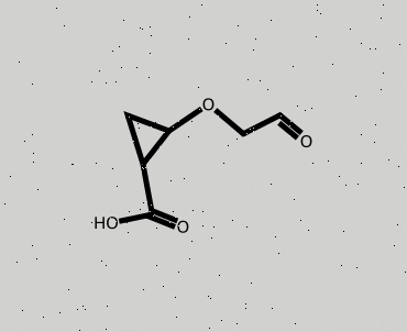 O=CCOC1CC1C(=O)O